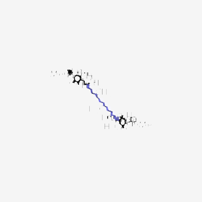 COP(C)(=O)OC1CC(C)(C)C(CC/C(C)=C/C=C/C(C)=C/C=C/C=C(C)/C=C/C=C(C)/C=C/C2=C(C)C(=O)C(OP(=O)(OC)OC)CC2(C)C)=C(C)C1=O